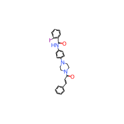 O=C(Nc1ccc(N2CCN(C(=O)/C=C/c3ccccc3)CC2)cc1)c1ccccc1I